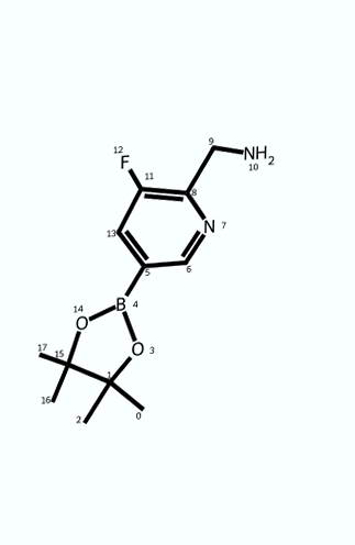 CC1(C)OB(c2cnc(CN)c(F)c2)OC1(C)C